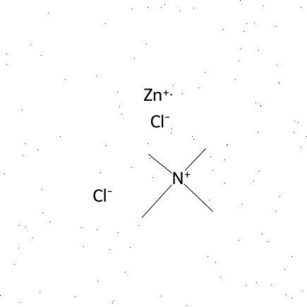 C[N+](C)(C)C.[Cl-].[Cl-].[Zn+]